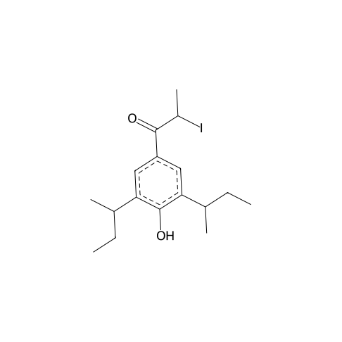 CCC(C)c1cc(C(=O)C(C)I)cc(C(C)CC)c1O